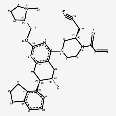 C=CC(=O)N1CCN(c2nc(OC[C@@H]3CCCN3C)nc3c2C[C@H](C)[C@@H](c2cccc4c2CCC4)C3)C[C@H]1CC#N